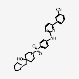 N#Cc1cccc(-c2ccnc(Nc3ccc(S(=O)(=O)N4CCC(O)(CN5CCCC5)CC4)cc3)n2)c1